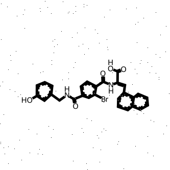 O=C(O)C(=Cc1cccc2ccccc12)NC(=O)c1ccc(C(=O)NCc2cccc(O)c2)cc1Br